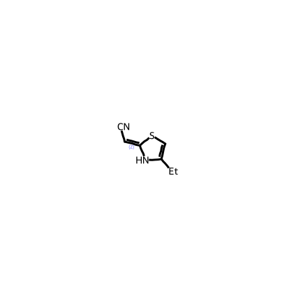 CCC1=CS/C(=C\C#N)N1